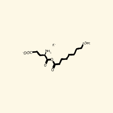 CCCCCCCCCCCCCCCCCC(=O)OC(=O)[C@H](N)CCC(=O)[O-].[K+]